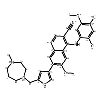 COc1cc(Nc2c(C#N)cnc3cc(-c4coc(CN5CCCN(C)CC5)c4)c(OC)cc23)c(Cl)cc1Cl